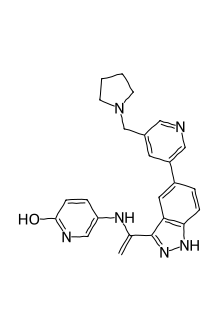 C=C(Nc1ccc(O)nc1)c1n[nH]c2ccc(-c3cncc(CN4CCCC4)c3)cc12